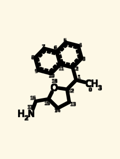 CC(c1cccc2ccccc12)C1CCC(CN)O1